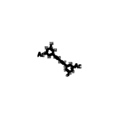 CC(=O)c1cc(C)cc(C#CC#Cc2cc(C)cc(C(C)=O)c2)c1